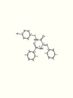 O=C(NCc1ccc(F)cc1)/C(=C/c1ccccc1)NC(=O)c1ccccc1